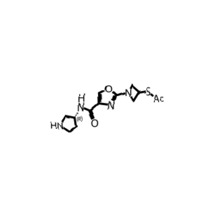 CC(=O)SC1CN(c2nc(C(=O)N[C@@H]3CCNC3)co2)C1